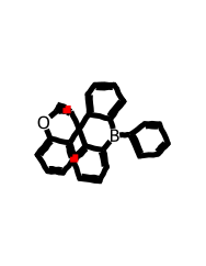 c1ccc(B2c3ccccc3C3(c4ccccc4Oc4ccccc43)c3ccccc32)cc1